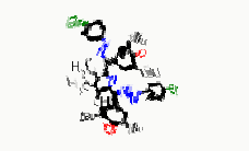 Cc1c(C(/N=N/c2ccc(Br)cc2)=C2C=C(C(C)(C)C)C(=O)C(C(C)(C)C)=C2)nc(C(/N=N/c2ccc(Br)cc2)=C2C=C(C(C)(C)C)C(=O)C(C(C)(C)C)=C2)c(C)c1C